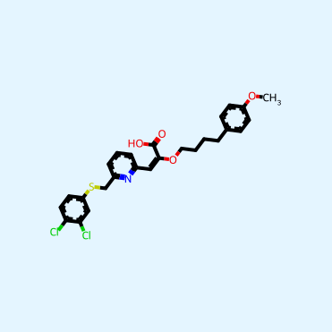 COc1ccc(CCCCO/C(=C/c2cccc(CSc3ccc(Cl)c(Cl)c3)n2)C(=O)O)cc1